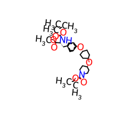 COC(=O)[C@@H](Cc1ccc(O[C@H]2CC[C@H](OC3CCN(C(=O)OC(C)C)CC3)CC2)cc1)NC(=O)OC(C)(C)C